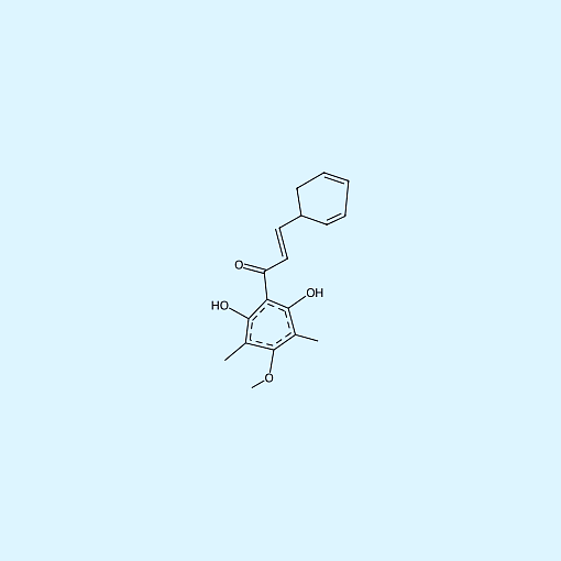 COc1c(C)c(O)c(C(=O)C=CC2C=CC=CC2)c(O)c1C